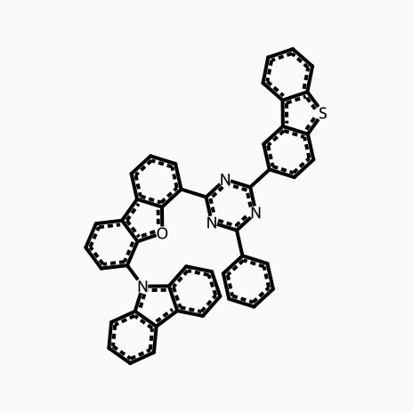 c1ccc(-c2nc(-c3ccc4sc5ccccc5c4c3)nc(-c3cccc4c3oc3c(-n5c6ccccc6c6ccccc65)cccc34)n2)cc1